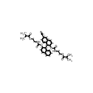 C=C(C)C(=O)OCCNC(=O)Oc1ccc2ccccc2c1-c1c(OC(=O)NCCOC(=O)C(=C)C)ccc2cc(C#N)ccc12